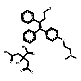 CN(C)CCOc1ccc(/C(=C(\CCCl)c2ccccc2)c2ccccc2)cc1.O=C(O)CC(O)(CC(=O)O)C(=O)O